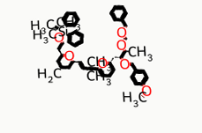 C=C1C[C@@H](CCO[Si](c2ccccc2)(c2ccccc2)C(C)(C)C)O[C@@H](/C=C/C(C)(C)C2=CCC[C@@H](C[C@@H](OCc3ccc(OC)cc3)[C@@H](C)OCOCc3ccccc3)O2)C1